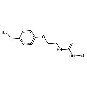 CCNC(=S)NCCOc1ccc(OC(C)CC)cc1